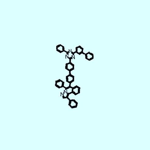 c1ccc(-c2cccc(-c3nc(-c4ccccc4)nc(-c4ccc(-c5ccc(-c6c(-c7ccccc7)n7ncc(-c8ccccc8)c7c7ccccc67)cc5)cc4)n3)c2)cc1